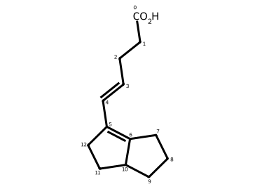 O=C(O)CCC=CC1=C2CCCC2CC1